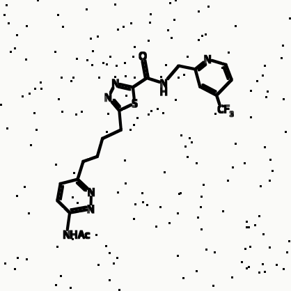 CC(=O)Nc1ccc(CCCCc2nnc(C(=O)NCc3cc(C(F)(F)F)ccn3)s2)nn1